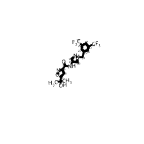 CC(C)(O)c1cc(C(=O)Nc2cnn(Cc3cc(C(F)(F)F)cc(C(F)(F)F)c3)c2)no1